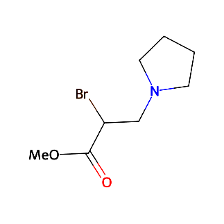 COC(=O)C(Br)CN1CCCC1